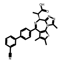 Cc1sc2c(c1C)C(c1ccc(-c3cccc(C#N)c3)cc1)=N[C@@H](C(C)C(=O)O)c1nnc(C)n1-2